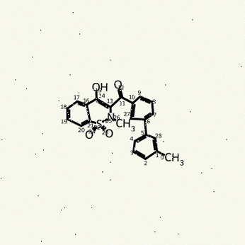 Cc1cccc(-c2cccc(C(=O)C3=C(O)c4ccccc4S(=O)(=O)N3C)c2)c1